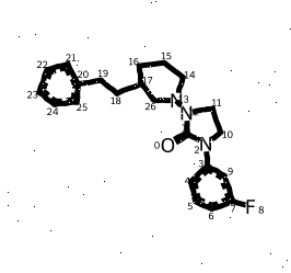 O=C1N(c2cccc(F)c2)CCN1N1CCCC(CCc2ccccc2)C1